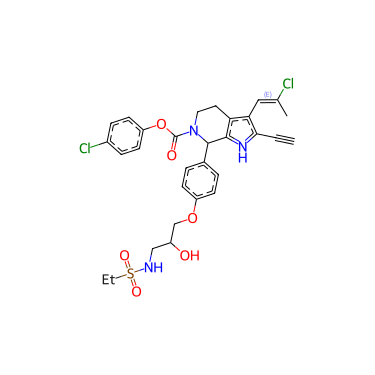 C#Cc1[nH]c2c(c1/C=C(\C)Cl)CCN(C(=O)Oc1ccc(Cl)cc1)C2c1ccc(OCC(O)CNS(=O)(=O)CC)cc1